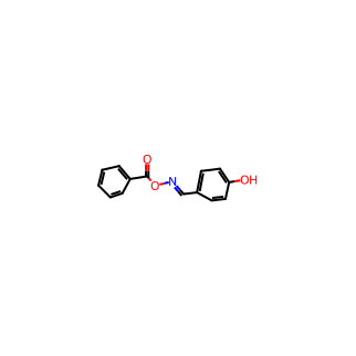 O=C(O/N=C/c1ccc(O)cc1)c1ccccc1